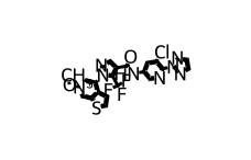 CO[n+]1cc(-n2ncc(C(=O)Nc3cnc(-n4nccn4)c(Cl)c3)c2C(F)(F)F)c2ccsc2c1